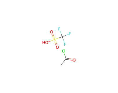 CC(=O)Cl.O=S(=O)(O)C(F)(F)F